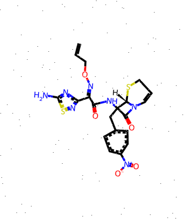 C=CCON=C(C(=O)NC1(Cc2ccc([N+](=O)[O-])cc2)C(=O)N2C=CCS[C@H]21)c1nsc(N)n1